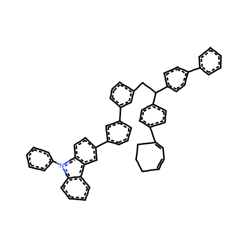 C1=CCCCC(c2ccc(C(Cc3cccc(-c4cccc(-c5ccc6c(c5)c5ccccc5n6-c5ccccc5)c4)c3)c3ccc(-c4ccccc4)cc3)cc2)=C1